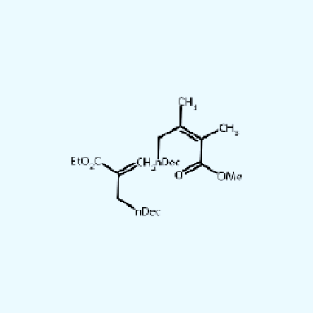 C=C(CCCCCCCCCCC)C(=O)OCC.CCCCCCCCCCCC(C)=C(C)C(=O)OC